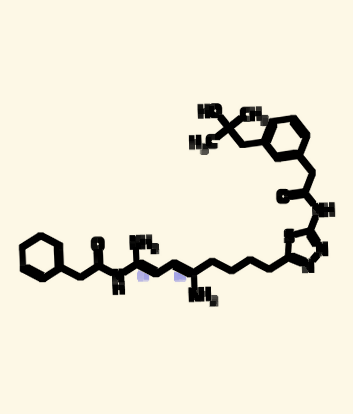 CC(C)(O)Cc1cccc(CC(=O)Nc2nnc(CCCC/C(N)=C/C=C(\N)NC(=O)CC3=CCCC=C3)s2)c1